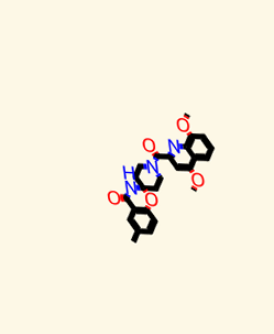 COc1cc(C(=O)N2CCC3(CC2)NC(=O)c2cc(C)ccc2O3)nc2c(OC)cccc12